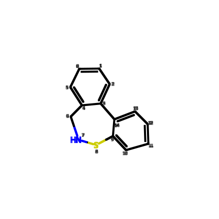 c1ccc2c(c1)CNSc1ccccc1-2